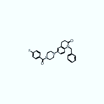 O=C(c1ccc(F)cc1)N1CCN(c2ccc3c(c2)CCC(=O)N3Cc2ccccc2)CC1